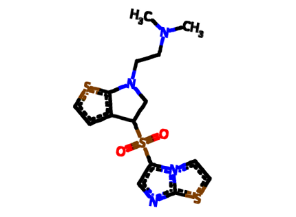 CN(C)CCN1CC(S(=O)(=O)c2cnc3sccn23)c2ccsc21